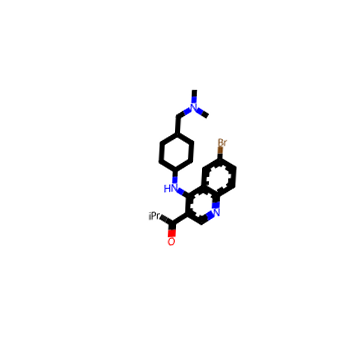 CC(C)C(=O)c1cnc2ccc(Br)cc2c1NC1CCC(CN(C)C)CC1